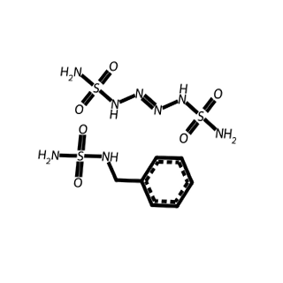 NS(=O)(=O)NCc1ccccc1.NS(=O)(=O)NN=NNS(N)(=O)=O